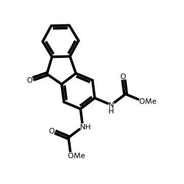 COC(=O)Nc1cc2c(cc1NC(=O)OC)-c1ccccc1C2=O